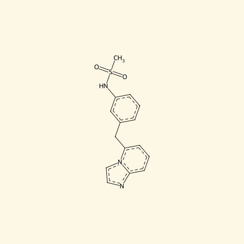 CS(=O)(=O)Nc1cccc(Cc2cccc3nccn23)c1